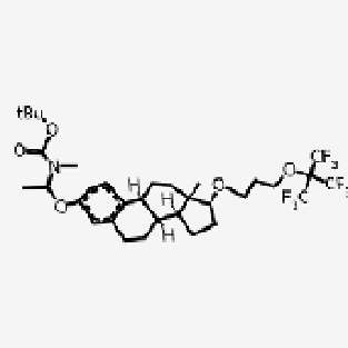 CC(Oc1ccc2c(c1)CC[C@@H]1[C@@H]2CC[C@]2(C)[C@@H](OCCCOC(C(F)(F)F)(C(F)(F)F)C(F)(F)F)CC[C@@H]12)N(C)C(=O)OC(C)(C)C